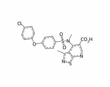 Cc1nsc2ncc(C(=O)O)c(N(C)S(=O)(=O)c3ccc(Oc4ccc(Cl)cc4)cc3)c12